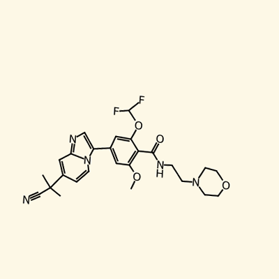 COc1cc(-c2cnc3cc(C(C)(C)C#N)ccn23)cc(OC(F)F)c1C(=O)NCCN1CCOCC1